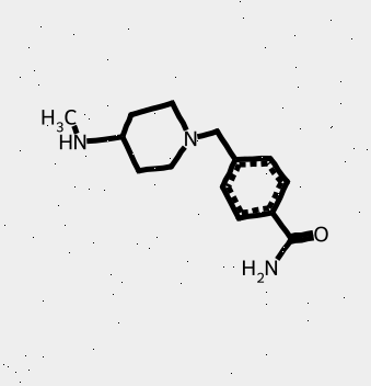 CNC1CCN(Cc2ccc(C(N)=O)cc2)CC1